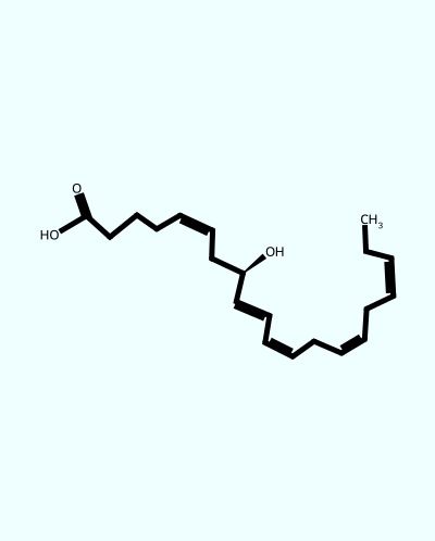 CC/C=C\C/C=C\C/C=C\C=C\[C@H](O)C/C=C\CCCC(=O)O